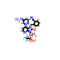 Cn1c(=O)n(Cc2ccccc2C#N)c2c(N3CCC[C@@H](N)C3)ccnc21.O=C(O)C(F)(F)F